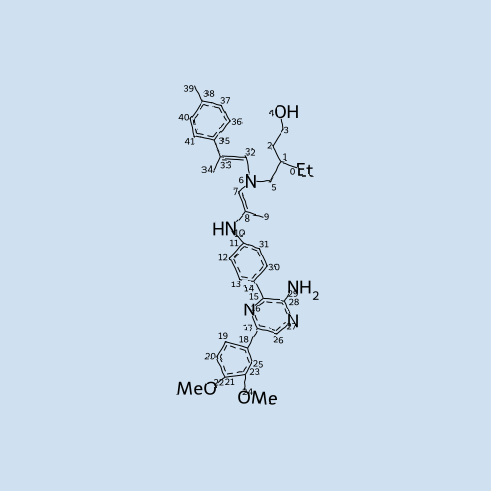 CCC(CCO)CN(/C=C(\C)Nc1ccc(-c2nc(-c3ccc(OC)c(OC)c3)cnc2N)cc1)/C=C(\C)c1ccc(C)cc1